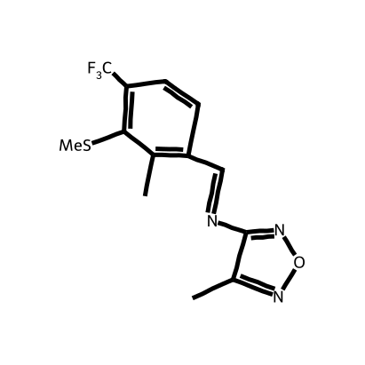 CSc1c(C(F)(F)F)ccc(C=Nc2nonc2C)c1C